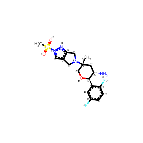 C[C@]1(N2Cc3cn(S(C)(=O)=O)nc3C2)CO[C@H](c2cc(F)ccc2F)[C@@H](N)C1